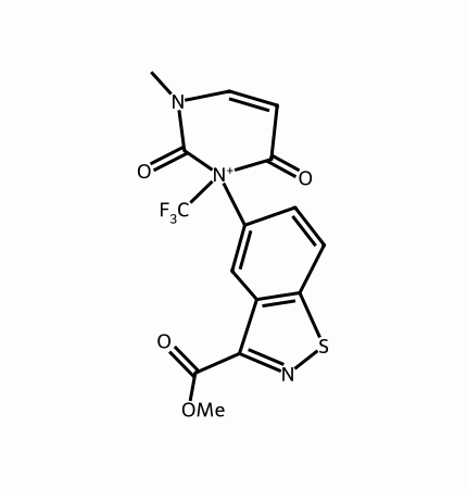 COC(=O)c1nsc2ccc([N+]3(C(F)(F)F)C(=O)C=CN(C)C3=O)cc12